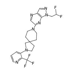 FC(F)Cn1ncc2ncc(N3CCC4(CC3)CCN(c3cccnc3C(F)(F)F)C4)nc21